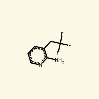 Nc1ncccc1CC(F)(F)F